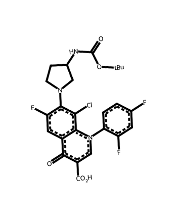 CC(C)(C)OC(=O)NC1CCN(c2c(F)cc3c(=O)c(C(=O)O)cn(-c4ccc(F)cc4F)c3c2Cl)C1